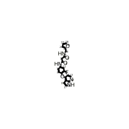 O=C(CC(=O)Nc1ccc(Oc2ccnc3[nH]ccc23)c(F)c1)NCc1ccco1